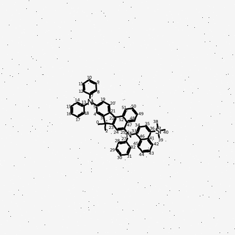 CC1(C)c2cc(N(c3ccccc3)c3ccccc3)ccc2-c2c1cc(N(c1ccccc1)c1ccc([Si](C)(C)C)c3ccccc13)c1ccccc21